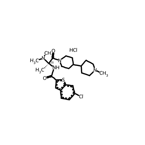 CN1CCC(C2CCN(C(=O)[C@@](C)(NC(=O)c3cc4ccc(Cl)cc4s3)N(C)C)CC2)CC1.Cl